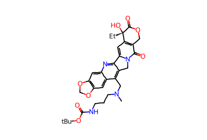 CC[C@@]1(O)C(=O)OCc2c1cc1n(c2=O)Cc2c-1nc1cc3c(cc1c2CN(C)CCCNC(=O)OC(C)(C)C)OCO3